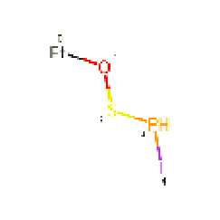 CCOSPI